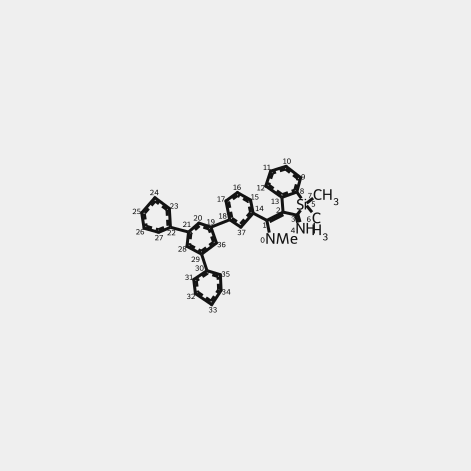 CN/C(=C1\C(=N)[Si](C)(C)c2ccccc21)c1cccc(-c2cc(-c3ccccc3)cc(-c3ccccc3)c2)c1